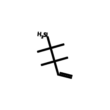 C=CC(C)(C)C(C)(C)[SiH3]